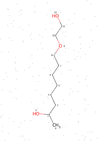 CC(O)CCCCCCOCCO